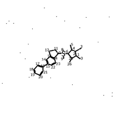 CC1C(C)C(C)C(S(C)(C)C2CCc3cc(-c4ccccc4)ccc32)C1C